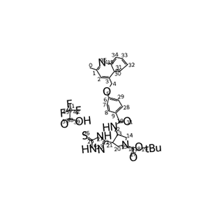 Cc1cc(COc2ccc(C(=O)NC3CN(C(=O)OC(C)(C)C)CC3c3n[nH]c(=S)[nH]3)cc2)c2ccccc2n1.O=C(O)C(F)(F)F